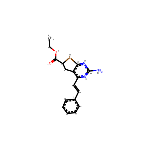 CCOC(=O)C1Cc2c(/C=C/c3ccccc3)nc(N)nc2S1